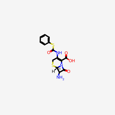 NC1C(=O)N2C(C(=O)O)=C(NC(=O)Sc3ccccc3)CS[C@@H]12